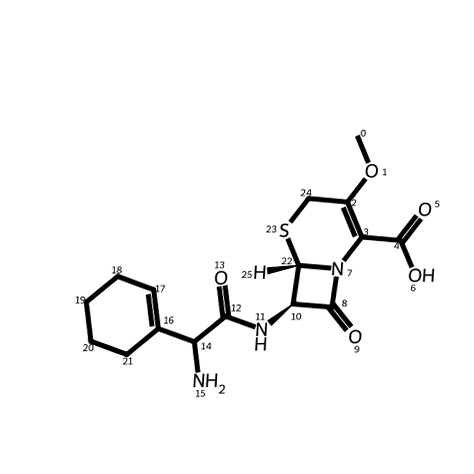 COC1=C(C(=O)O)N2C(=O)[C@@H](NC(=O)C(N)C3=CCCCC3)[C@@H]2SC1